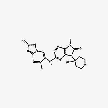 Cc1cc2nc(C(F)(F)F)nn2cc1Nc1ncc2c(n1)n(C1(C#N)CCOCC1)c(=O)n2C